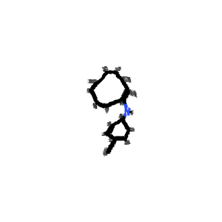 Cc1ccc([N]C2CCCCCCCC2)cc1